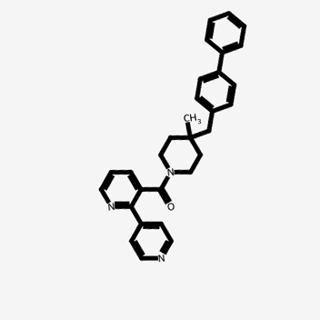 CC1(Cc2ccc(-c3ccccc3)cc2)CCN(C(=O)c2cccnc2-c2ccncc2)CC1